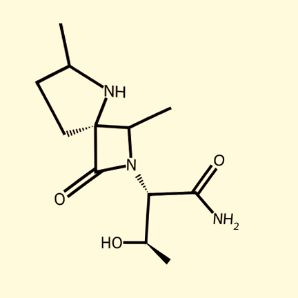 CC1CC[C@@]2(N1)C(=O)N([C@H](C(N)=O)[C@@H](C)O)C2C